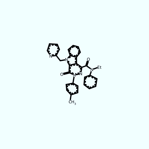 CCN(C(=O)c1nn(-c2ccc(C)cc2)c(=O)c2c1c1ccccc1n2Cc1ccccn1)c1ccccc1